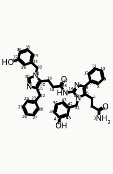 NC(=O)CCc1c(-c2ccccc2)nc(NC(=O)CCc2c(Cc3ccccc3)ncn2Cc2cccc(O)c2)n1Cc1cccc(O)c1